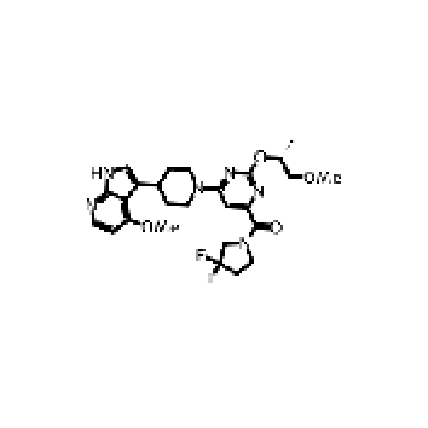 COC[C@@H](C)Oc1nc(C(=O)N2CCC(F)(F)C2)cc(N2CCC(c3c[nH]c4nccc(OC)c34)CC2)n1